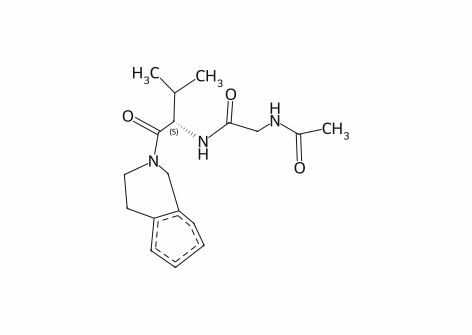 CC(=O)NCC(=O)N[C@H](C(=O)N1CCc2ccccc2C1)C(C)C